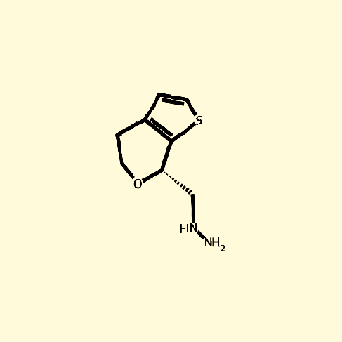 NNC[C@@H]1OCCc2ccsc21